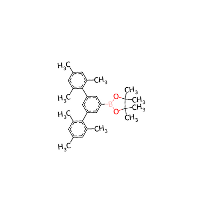 Cc1cc(C)c(-c2cc(B3OC(C)(C)C(C)(C)O3)cc(-c3c(C)cc(C)cc3C)c2)c(C)c1